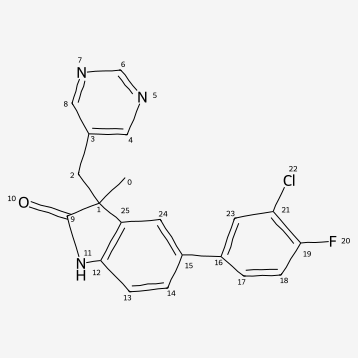 CC1(Cc2cncnc2)C(=O)Nc2ccc(-c3ccc(F)c(Cl)c3)cc21